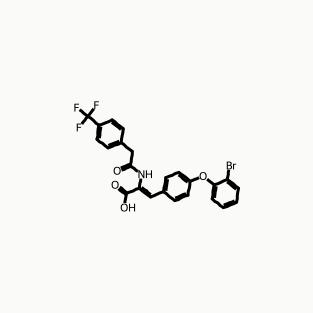 O=C(Cc1ccc(C(F)(F)F)cc1)N/C(=C\c1ccc(Oc2ccccc2Br)cc1)C(=O)O